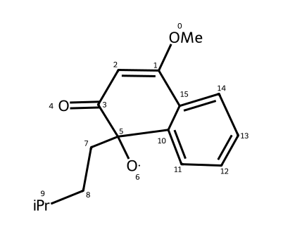 COC1=CC(=O)C([O])(CCC(C)C)c2ccccc21